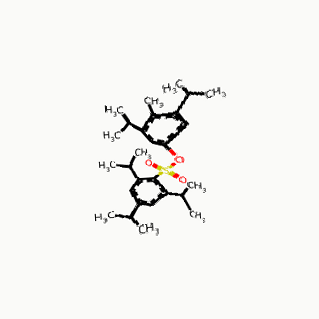 Cc1c(C(C)C)cc(OS(=O)(=O)c2c(C(C)C)cc(C(C)C)cc2C(C)C)cc1C(C)C